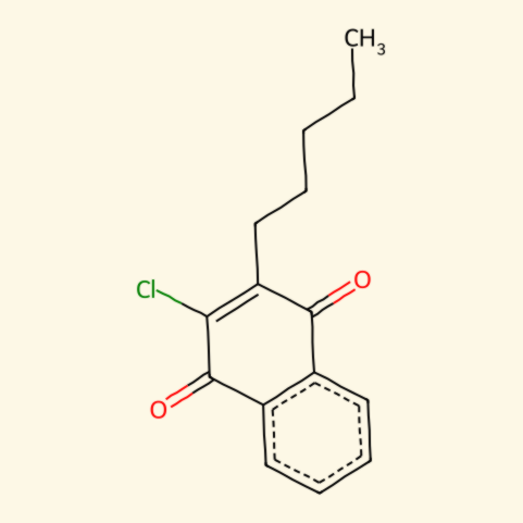 CCCCCC1=C(Cl)C(=O)c2ccccc2C1=O